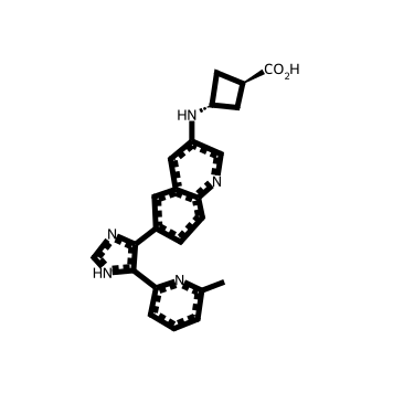 Cc1cccc(-c2[nH]cnc2-c2ccc3ncc(N[C@H]4C[C@H](C(=O)O)C4)cc3c2)n1